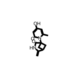 C=C1NC(=O)C2(n3c(C)cc(O)cc3=O)CC1C2